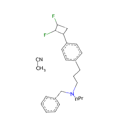 CC#N.CCCN(CCCc1ccc(C2CC(F)C2F)cc1)Cc1ccccc1